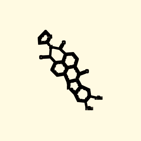 CCCCc1cc2nc3c4ccc5c6c(ccc(c(=O)n3c2cc1CCCC)c64)C(=O)N(c1cccs1)C5=O